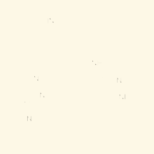 N#CC1=C(C2CCNCC2)Nc2n[nH]cc2C1c1cccc2nonc12